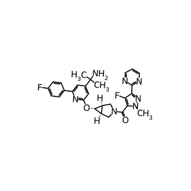 Cn1nc(-c2ncccn2)c(F)c1C(=O)N1C[C@@H]2[C@H](C1)[C@H]2Oc1cc(C(C)(C)N)cc(-c2ccc(F)cc2)n1